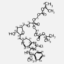 CC(C)OC(=O)OCOP(=O)(COC[C@@H]1C[C@@H](O)C(C[C@H]2CCc3nc(Cl)nc(N[C@@H](C)c4ccccc4)c3C=N2)O1)OCOC(=O)OC(C)C